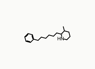 CC1CCCN[C]1CCCCCCc1ccccc1